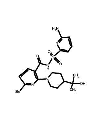 CC(C)(C)c1ccc(C(=O)NS(=O)(=O)c2cccc(N)n2)c(N2CCC(C(C)(C)O)CC2)n1